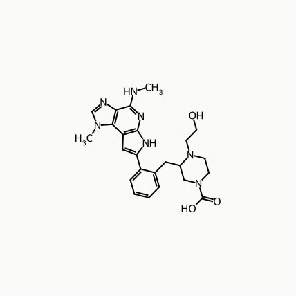 CNc1nc2[nH]c(-c3ccccc3CC3CN(C(=O)O)CCN3CCO)cc2c2c1ncn2C